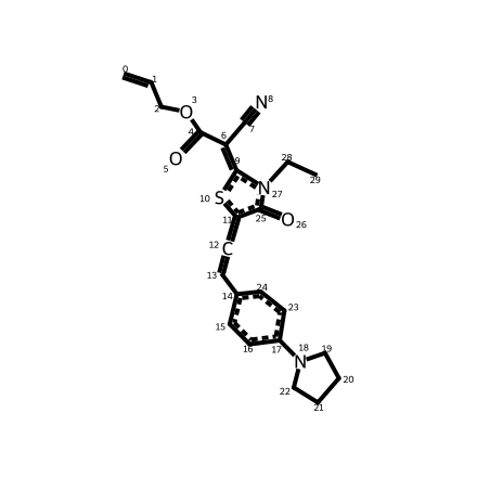 C=CCOC(=O)/C(C#N)=c1\sc(=C=Cc2ccc(N3CCCC3)cc2)c(=O)n1CC